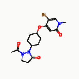 CC(=O)N1CCC(=O)N1C1CCC(Oc2cc(=O)n(C)cc2Br)CC1